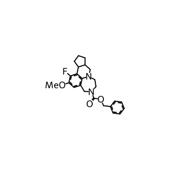 COc1cc2c3c(c1F)C1CCCC1CN3CCN(C(=O)OCc1ccccc1)C2